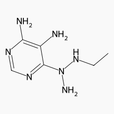 CCNN(N)c1ncnc(N)c1N